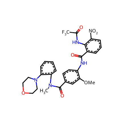 COc1cc(C(=O)N(C)c2ccccc2N2CCOCC2)ccc1NC(=O)c1cccc([N+](=O)[O-])c1NC(=O)C(F)(F)F